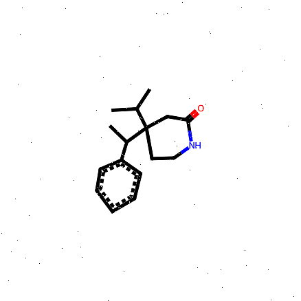 CC(C)C1(C(C)c2ccccc2)CCNC(=O)C1